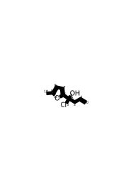 C=CCC(O)(Cl)c1ccc(C)o1